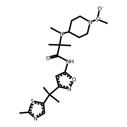 Cc1ncc(C(C)(C)c2cc(NC(=O)C(C)(C)N(C)C3CCN([S+](C)[O-])CC3)on2)s1